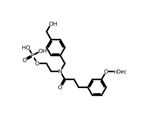 CCCCCCCCCCOc1cccc(CCC(=O)N(CCOP(=O)(O)O)Cc2ccc(CO)cc2)c1